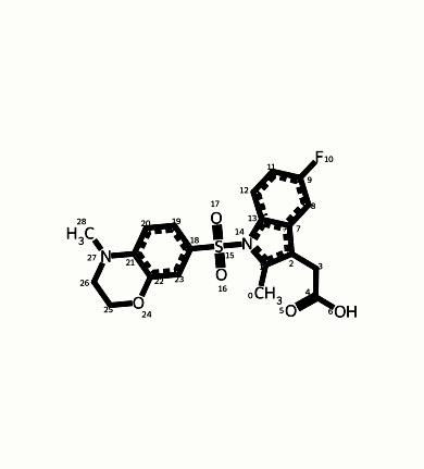 Cc1c(CC(=O)O)c2cc(F)ccc2n1S(=O)(=O)c1ccc2c(c1)OCCN2C